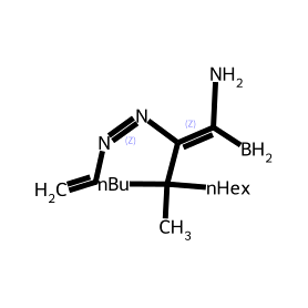 B/C(N)=C(/N=N\C=C)C(C)(CCCC)CCCCCC